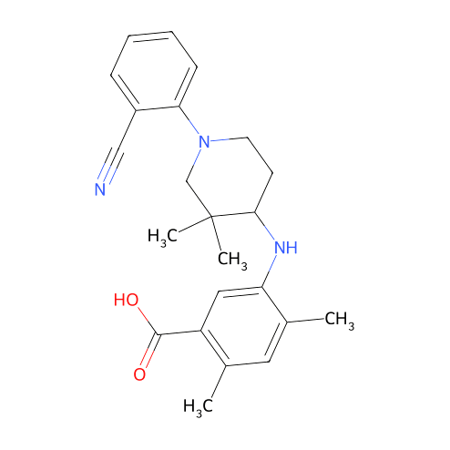 Cc1cc(C)c(C(=O)O)cc1NC1CCN(c2ccccc2C#N)CC1(C)C